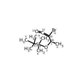 C[C@@H](O[Si](C)(C)C(C)(C)C)C(Br)=C=O